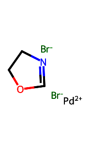 C1=NCCO1.[Br-].[Br-].[Pd+2]